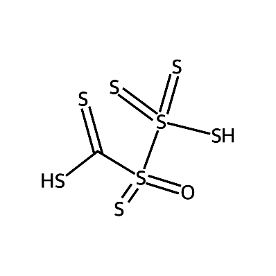 O=S(=S)(C(=S)S)S(=S)(=S)S